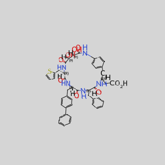 O=C(O)C[C@@H]1Cc2ccc(cc2)NC(=O)[C@H](O)[C@@H](O)C(=O)N[C@H](Cc2cccs2)C(=O)N[C@@H](Cc2ccc(-c3ccccc3)cc2)C(=O)N[C@H](Cc2ccccc2)C(=O)N1